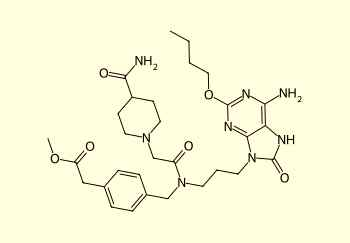 CCCCOc1nc(N)c2[nH]c(=O)n(CCCN(Cc3ccc(CC(=O)OC)cc3)C(=O)CN3CCC(C(N)=O)CC3)c2n1